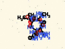 CCCC[C@H](NC(C)=O)C(=O)N[C@H]1CCC(=O)NCC[C@@H](C(=O)N[C@@H](Cc2c[nH]c3ccccc23)C(N)=O)NC(=O)[C@H](CCCNC(=N)N)NC(=O)C(c2ccccc2)NC(=O)[C@H](CCCNC(C)=N)NC1=O